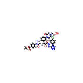 CC(C)(C)OC(=O)c1ccc(NC(=O)[C@@H](CCC(=O)C(=O)Nc2cc(Cl)ccc2-n2cnnn2)Cc2ccc(N3CCN(CCO)CC3=O)cc2)cc1